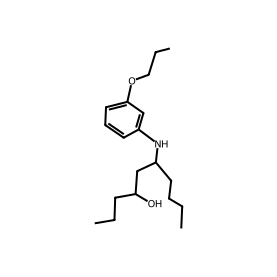 CCCCC(CC(O)CCC)Nc1cccc(OCCC)c1